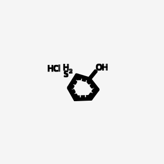 Cl.Oc1ccccc1.S